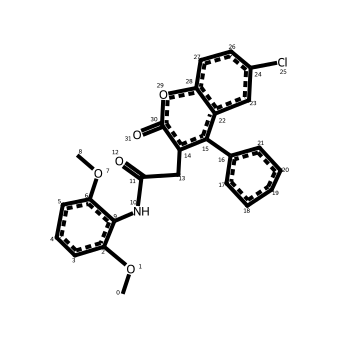 COc1cccc(OC)c1NC(=O)Cc1c(-c2ccccc2)c2cc(Cl)ccc2oc1=O